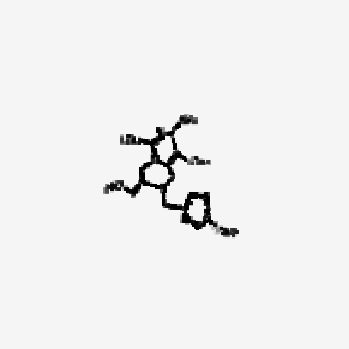 COc1ccc(CN2CC3=C(C(C)(C)C)C(C(C)(C)C)N=C(C(C)(C)C)N3CC2CO)cc1